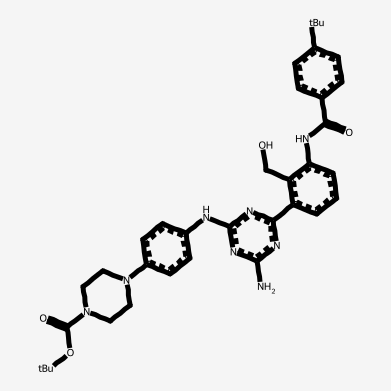 CC(C)(C)OC(=O)N1CCN(c2ccc(Nc3nc(N)nc(-c4cccc(NC(=O)c5ccc(C(C)(C)C)cc5)c4CO)n3)cc2)CC1